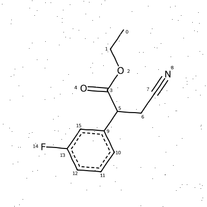 CCOC(=O)C(CC#N)c1cccc(F)c1